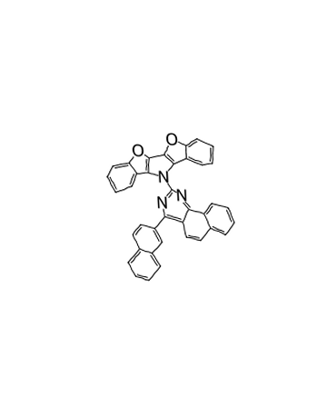 c1ccc2cc(-c3nc(-n4c5c6ccccc6oc5c5oc6ccccc6c54)nc4c3ccc3ccccc34)ccc2c1